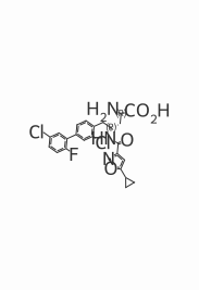 N[C@H](C[C@@H](Cc1ccc(-c2cc(Cl)ccc2F)cc1Cl)NC(=O)c1cc(C2CC2)on1)C(=O)O